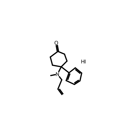 C=CCN(C)C1(c2ccccc2)CCC(=O)CC1.I